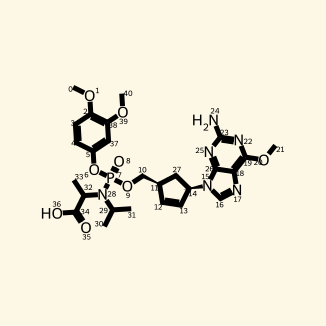 COc1ccc(OP(=O)(OC[C@@H]2C=C[C@H](n3cnc4c(OC)nc(N)nc43)C2)N(C(C)C)C(C)C(=O)O)cc1OC